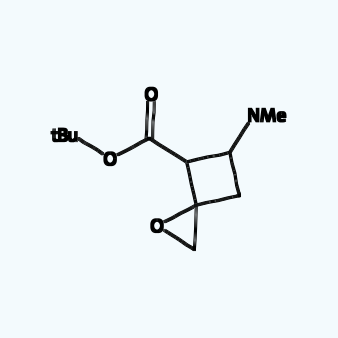 CNC1CC2(CO2)C1C(=O)OC(C)(C)C